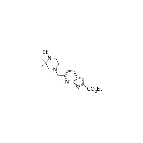 CCOC(=O)c1cc2ccc(CN3CCN(CC)C(C)(C)C3)nc2s1